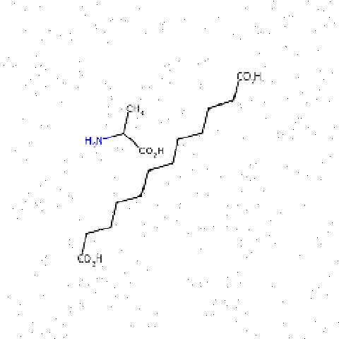 CC(N)C(=O)O.O=C(O)CCCCCCCCCCC(=O)O